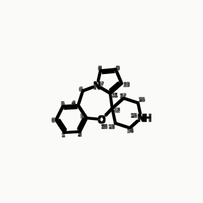 c1ccc2c(c1)Cn1cccc1C1(CCNCC1)O2